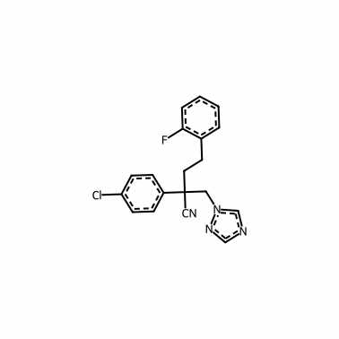 N#CC(CCc1ccccc1F)(Cn1cncn1)c1ccc(Cl)cc1